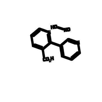 O=C(O)c1cccnc1-c1cccnc1.O=NO